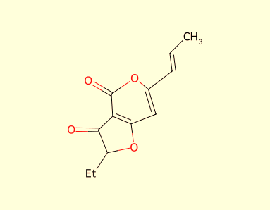 C/C=C/c1cc2c(c(=O)o1)C(=O)C(CC)O2